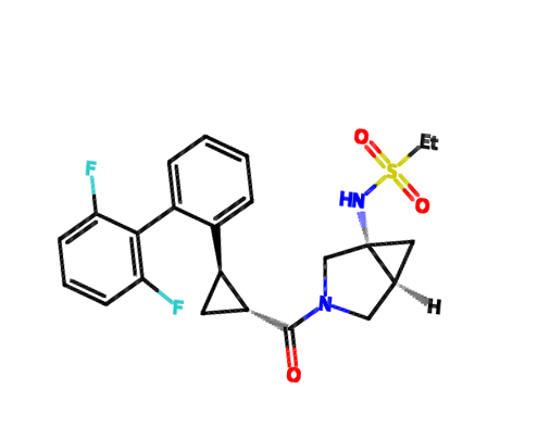 CCS(=O)(=O)N[C@]12C[C@H]1CN(C(=O)[C@@H]1C[C@H]1c1ccccc1-c1c(F)cccc1F)C2